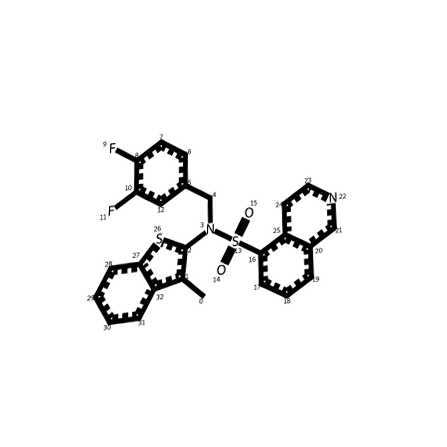 Cc1c(N(Cc2ccc(F)c(F)c2)S(=O)(=O)c2cccc3cnccc23)sc2ccccc12